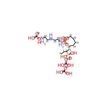 CCC(C)P(=O)(O)O.NCCNCCN.O=C(O)O.O=C(O)O.O=C(O)O.O=P1(O)OCCCCCO1